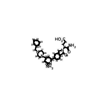 NC(=O)[C@H](CCC(=O)O)N1Cc2cc(-c3cc(N4CCN(Cc5ccccc5)CC4)cc(N)n3)ccc2C1=O